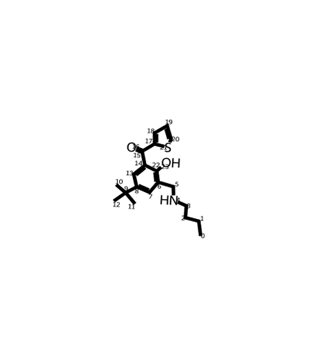 CCCCNCc1cc(C(C)(C)C)cc(C(=O)c2cccs2)c1O